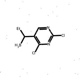 BC(CC)c1cnc(Cl)nc1Cl